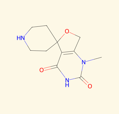 Cn1c2c(c(=O)[nH]c1=O)C1(CCNCC1)OC2